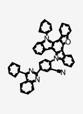 N#Cc1cc(-c2nc(-c3ccccc3)c3ccccc3n2)ccc1-n1c2ccccc2c2c3oc4ccccc4c3c3c(c4ccccc4n3-c3ccccc3)c21